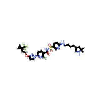 CC1(C)CC(CCCCNc2ccc(S(=O)(=O)NC(=O)c3ccc(-n4ccc(OCCC5(C(F)(F)F)CC5)n4)nc3Cl)cn2)CN1